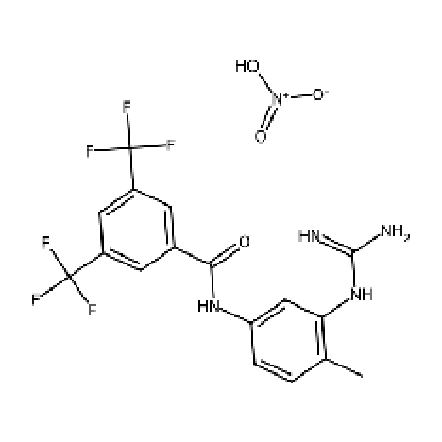 Cc1ccc(NC(=O)c2cc(C(F)(F)F)cc(C(F)(F)F)c2)cc1NC(=N)N.O=[N+]([O-])O